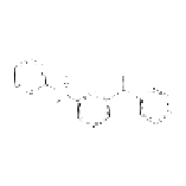 O=S(=O)(c1ccccc1)c1cccc(C(O)c2ccccc2)c1